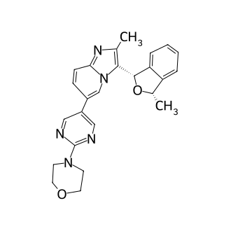 Cc1nc2ccc(-c3cnc(N4CCOCC4)nc3)cn2c1[C@H]1O[C@@H](C)c2ccccc21